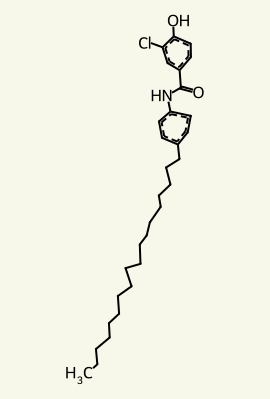 CCCCCCCCCCCCCCCCCCc1ccc(NC(=O)c2ccc(O)c(Cl)c2)cc1